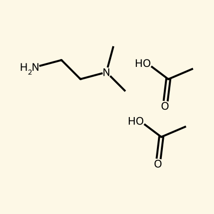 CC(=O)O.CC(=O)O.CN(C)CCN